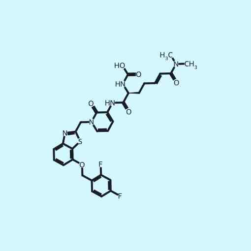 CN(C)C(=O)/C=C/CC[C@H](NC(=O)O)C(=O)Nc1cccn(Cc2nc3cccc(OCc4ccc(F)cc4F)c3s2)c1=O